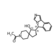 CC(=O)N1CCC2(CC[C@H]([C@@H]3c4ccccc4-c4cncn43)[C@@H]2O)CC1